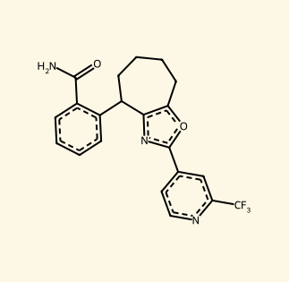 NC(=O)c1ccccc1C1CCCCc2oc(-c3ccnc(C(F)(F)F)c3)nc21